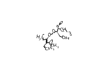 C=C/C(OC)=C(\CC)OCO[C@H](CO)[C@H](C)N=O